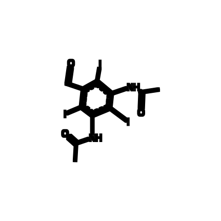 CC(=O)Nc1c(I)c(C=O)c(I)c(NC(C)=O)c1I